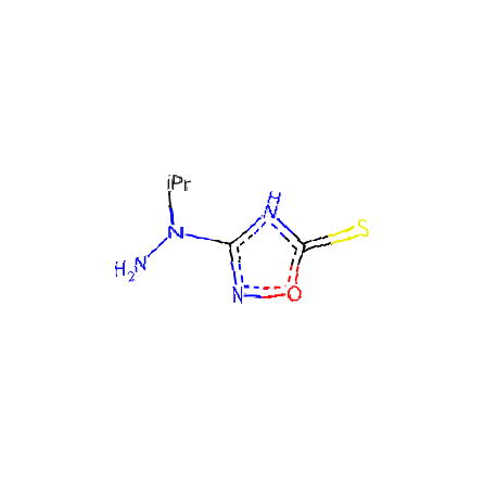 CC(C)N(N)c1noc(=S)[nH]1